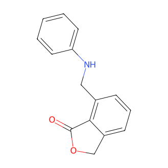 O=C1OCc2cccc(CNc3ccccc3)c21